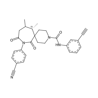 C#Cc1cccc(NC(=O)N2CCC3(CC2)C(=O)N(c2ccc(C#N)cc2)C(=O)CC(C)[C@@H]3C)c1